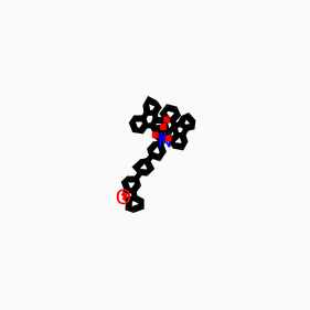 c1ccc2c(c1)-c1ccccc1C21c2ccccc2-c2cccc(N(c3ccc(-c4ccc(-c5ccc6oc7ccccc7c6c5)cc4)cc3)c3ccc4c5ccccc5c5ccccc5c4c3)c21